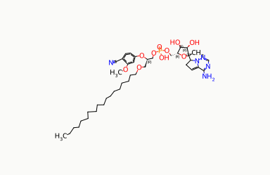 CCCCCCCCCCCCCCCCCCOC[C@H](COP(=O)(O)OC[C@H]1O[C@@](C)(C2CC=C3C(N)=NC=NN32)[C@H](O)[C@@H]1O)Oc1ccc(C#N)c(OC)c1